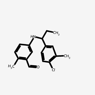 CCC(Nc1ccc(C)c(C=O)c1)c1ccc(Cl)c(C)c1